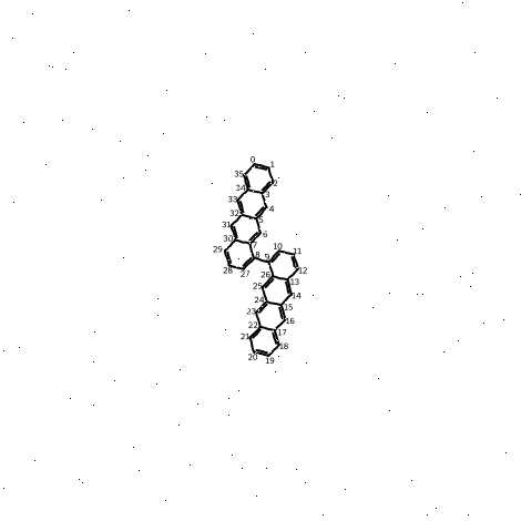 c1ccc2cc3cc4c(-c5cccc6cc7cc8ccccc8cc7cc56)cccc4cc3cc2c1